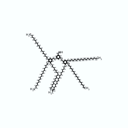 CCCCCCCCCCCCCCCCCCOc1cc(COc2cc(C[NH])cc(OCc3cc(OCCCCCCCCCCCCCCCCCC)c(OCCCCCCCCCCCCCCCCCC)c(OCCCCCCCCCCCCCCCCCC)c3)c2)cc(OCCCCCCCCCCCCCCCCCC)c1OCCCCCCCCCCCCCCCCCC